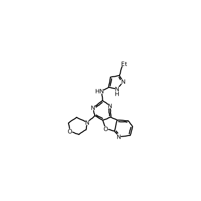 CCc1cc(Nc2nc(N3CCOCC3)c3oc4ncccc4c3n2)[nH]n1